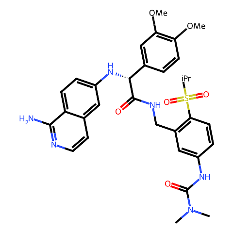 COc1ccc([C@@H](Nc2ccc3c(N)nccc3c2)C(=O)NCc2cc(NC(=O)N(C)C)ccc2S(=O)(=O)C(C)C)cc1OC